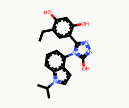 CCc1cc(-c2nnc(O)n2-c2cccc3c2ccn3C(C)C)c(O)cc1O